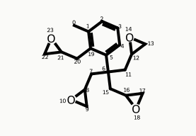 Cc1cccc(C(CC2CO2)(CC2CO2)CC2CO2)c1CC1CO1